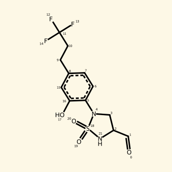 O=CC1CN(c2ccc(CCC(F)(F)F)cc2O)S(=O)(=O)N1